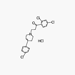 Cl.O=C(CCN1CC=C(c2ccc(Cl)cc2)CC1)c1ccc(Cl)cc1Cl